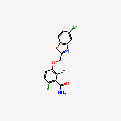 NC(=O)c1c(F)ccc(OCc2nc3cc(Br)ccc3s2)c1F